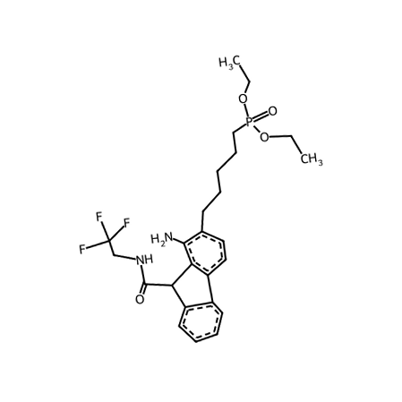 CCOP(=O)(CCCCCc1ccc2c(c1N)C(C(=O)NCC(F)(F)F)c1ccccc1-2)OCC